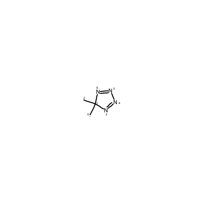 [CH2]C1(C)N=NN=N1